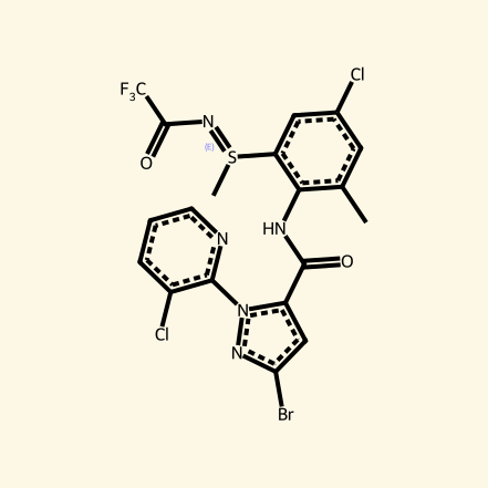 Cc1cc(Cl)cc(/S(C)=N/C(=O)C(F)(F)F)c1NC(=O)c1cc(Br)nn1-c1ncccc1Cl